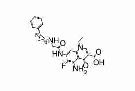 CCn1cc(C(=O)O)c(=O)c2c(N)c(F)c(NC(=O)CN[C@@H]3C[C@H]3c3ccccc3)cc21